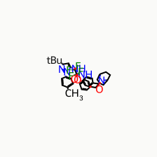 Cc1ccc(-n2nc(C(C)(C)C)cc2NC(=O)Nc2cccc(CC3CC4CCC(C3)N4C(=O)c3ccc(OC(F)(F)C(F)F)cc3)c2)cc1